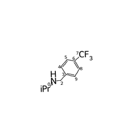 CC(C)NCc1ccc(C(F)(F)F)cc1